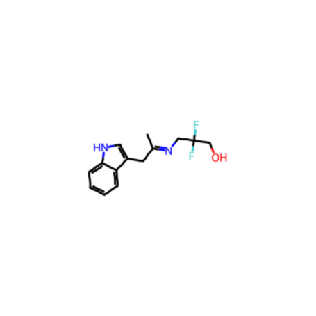 C/C(Cc1c[nH]c2ccccc12)=N\CC(F)(F)CO